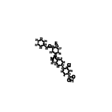 O=C(O)c1ccc(-c2ccc3c(cnn3-c3ccc(F)c(OCc4ccccc4)c3)c2)c(Cl)c1